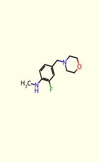 CNc1ccc(CN2CCOCC2)cc1F